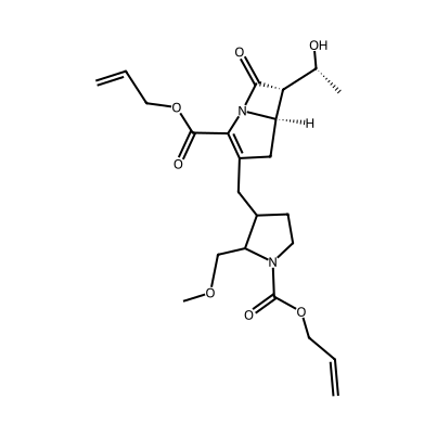 C=CCOC(=O)C1=C(CC2CCN(C(=O)OCC=C)C2COC)C[C@@H]2[C@@H]([C@@H](C)O)C(=O)N12